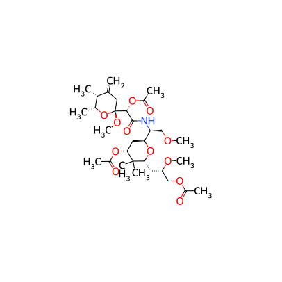 C=C1C[C@](OC)([C@H](OC(C)=O)C(=O)N[C@@H](COC)[C@@H]2C[C@@H](OC(C)=O)C(C)(C)[C@@H](C[C@@H](COC(C)=O)OC)O2)O[C@H](C)[C@@H]1C